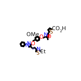 CCc1nc(/C=C/c2cn(-c3ccccc3)nc2OCc2ccc(OCc3nc(-c4ccc(C(=O)O)s4)oc3C)c(OC)c2)cs1